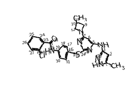 Cc1cc(Nc2cc(N3CC(C)C3)nc(Sc3ccc(NC(=O)c4ccccc4Cl)cc3)n2)n[nH]1